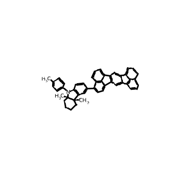 Cc1ccc(N2c3ccc(-c4ccc5c6cc7c(cc6c6cccc4c65)c4cccc5cccc7c54)cc3C3(C)CCCCC23C)cc1